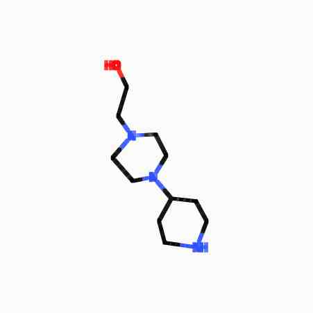 OCCN1CCN(C2CCNCC2)CC1